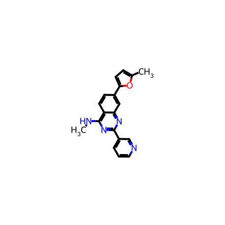 CNc1nc(-c2cccnc2)nc2cc(-c3ccc(C)o3)ccc12